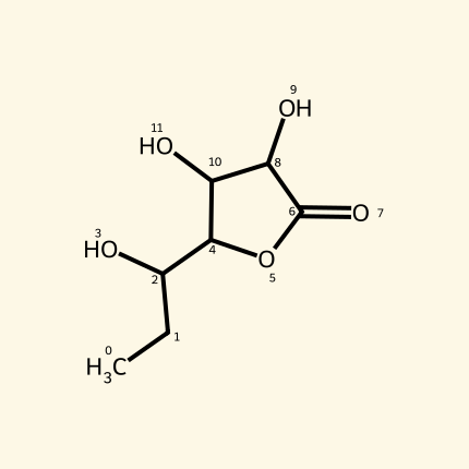 CCC(O)C1OC(=O)C(O)C1O